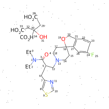 CCN(CC)C(=O)C(Cc1cscn1)CN1CCC2(CC1)OCc1ccc(F)cc12.O=C(O)CC(O)(CC(=O)O)C(=O)O